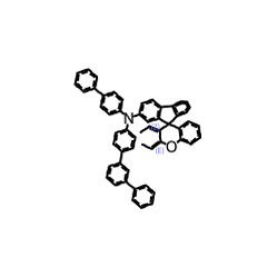 C/C=C1\C(=C/C)Oc2ccccc2C12c1ccccc1-c1ccc(N(c3ccc(-c4ccccc4)cc3)c3ccc(-c4cccc(-c5ccccc5)c4)cc3)cc12